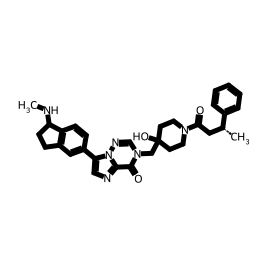 CNC1CCc2cc(-c3cnc4c(=O)n(CC5(O)CCN(C(=O)C[C@@H](C)c6ccccc6)CC5)cnn34)ccc21